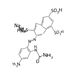 NC(=O)Nc1cc(N)ccc1N=Nc1cc2c(S(=O)(=O)O)cc(S(=O)(=O)O)cc2cc1S(=O)(=O)O.[Na].[Na].[Na]